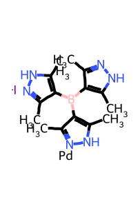 Cc1n[nH]c(C)c1B(c1c(C)n[nH]c1C)c1c(C)n[nH]c1C.[I].[Pd]